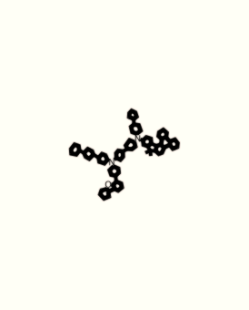 CC1(C)c2cc(N(c3ccc(-c4ccccc4)cc3)c3ccc(-c4ccc(N(c5ccc(-c6ccc(-c7ccccc7)cc6)cc5)c5ccc(-c6cccc7c6oc6ccccc67)cc5)cc4)cc3)ccc2-c2c1ccc1c3ccccc3c3ccccc3c21